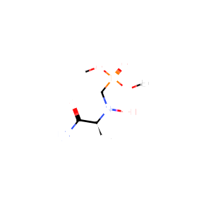 CCOP(=O)(CN(O)[C@H](C(N)=O)C(C)C)OCC